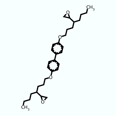 CCCCC(CCCOc1ccc(-c2ccc(OCCCC(CCCC)C3CO3)cc2)cc1)C1CO1